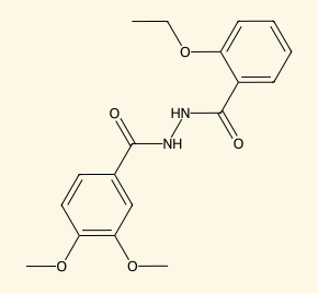 CCOc1ccccc1C(=O)NNC(=O)c1ccc(OC)c(OC)c1